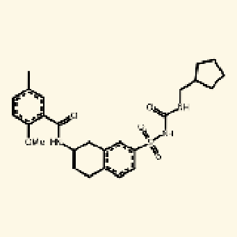 COc1ccc(C)cc1C(=O)NC1CCc2ccc(S(=O)(=O)NC(=O)NCC3CCCC3)cc2C1